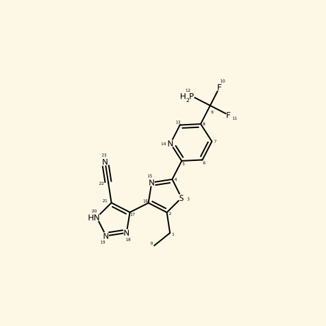 CCc1sc(-c2ccc(C(F)(F)P)cn2)nc1-c1nn[nH]c1C#N